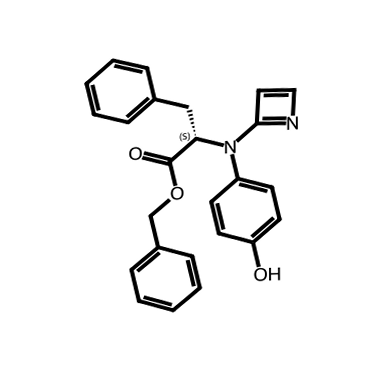 O=C(OCc1ccccc1)[C@H](Cc1ccccc1)N(C1=NC=C1)c1ccc(O)cc1